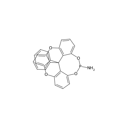 NP1Oc2cccc3c2C2(c4ccccc4O3)c3ccccc3Oc3cccc(c32)O1